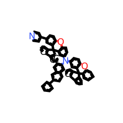 c1ccc(-c2ccc3cc(N(c4ccc5c(c4)C4(c6ccccc6O5)c5ccccc5-c5ccccc54)c4ccc5c(c4)C4(c6cc(-c7ccncc7)ccc6O5)c5ccccc5-c5ccccc54)ccc3c2)cc1